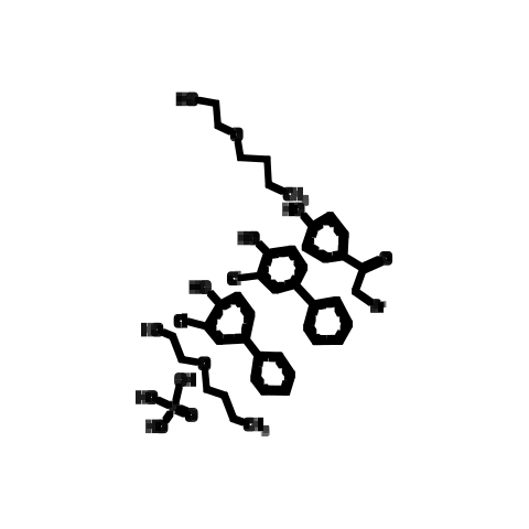 CCCCOCCO.CCCCOCCO.O=C(CBr)c1ccc(O)cc1.O=P(O)(O)O.Oc1ccc(-c2ccccc2)cc1Cl.Oc1ccc(-c2ccccc2)cc1Cl